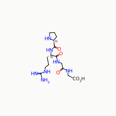 N=C(N)NCCC[C@H](NC(=O)[C@@H]1CCCN1)C(=O)NCC(=O)NCC(=O)O